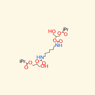 CC(C)C(=O)OCC(CO)OC(=O)NCCCCCCNC(=O)OC(CO)COC(=O)C(C)C